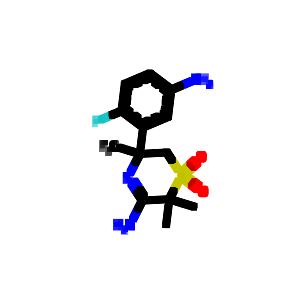 CC1(C)C(N)=NC(c2cc(N)ccc2F)(C(F)(F)F)CS1(=O)=O